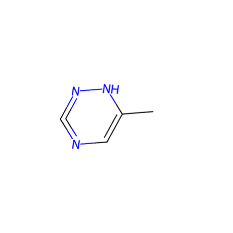 CC1=CN=C=NN1